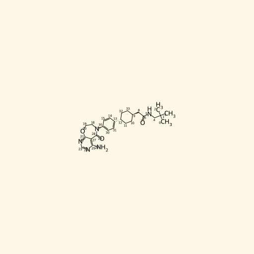 CC(C)(C)CNC(=O)C[C@H]1CC[C@H](c2ccc(N3CCOc4ncnc(N)c4C3=O)cc2)CC1